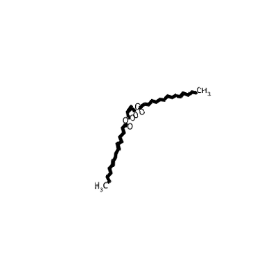 CCCCCCCCCCCCCCCC(=O)OC(=O)/C=C\C(=O)OC(=O)CCCCCCCCCCCCCCC